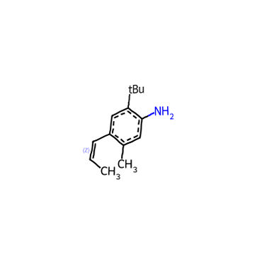 C/C=C\c1cc(C(C)(C)C)c(N)cc1C